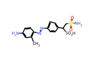 Cc1cc(N)ccc1N=Nc1ccc(C(CS(N)(=O)=O)S(=O)(=O)O)cc1